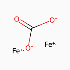 O=C([O-])[O-].[Fe+].[Fe+]